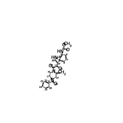 COC(=O)Nc1cccc2c(C(=O)C(=O)N3CCN(C(=O)c4ccccc4)C[C@H]3C)c[nH]c12